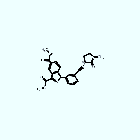 CNC(=O)c1ccc2c(c1)c(C(=O)OC)nn2-c1cccc(C#C[C@@H]2CCN(C)C2=O)c1